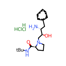 CC(C)(C)NC(=O)[C@@H]1CCCN1C[C@H](O)[C@H](N)Cc1ccccc1.Cl.Cl